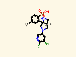 Cc1ccc(S(=O)(=O)O)c(C23CN(c4cnc(Cl)c(Cl)c4)C[C@@H]2CN3)c1